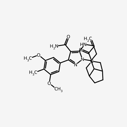 C=CC(=O)N1CC2CCC(C1)C2C1CCNc2c(C(N)=O)c(-c3cc(OC)c(C)c(OC)c3)nn21